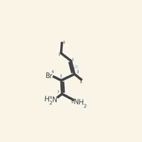 CC/C=C(/C)C(Br)=C(N)N